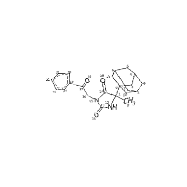 CC1(C23CC4CC(CC(C4)C2)C3)NC(=O)N(CC(=O)c2ccccc2)C1=O